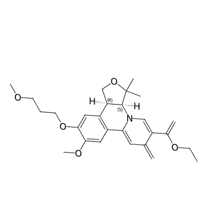 C=C1C=C2c3cc(OC)c(OCCCOC)cc3[C@H]3COC(C)(C)[C@H]3N2C=C1C(=C)OCC